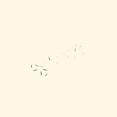 CC1(C)C(O)C(C)(C)C1O.NC(CCCC(CO)CO)C(=O)OCC1c2ccccc2-c2ccccc21